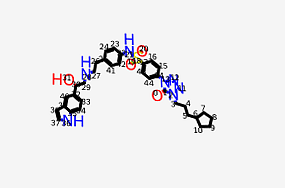 O=c1n(CCCC2CCCC2)nnn1-c1ccc(S(=O)(=O)Nc2ccc(CCNCC(O)c3ccc4[nH]ccc4c3)cc2)cc1